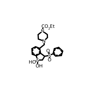 CCOC(=O)N1CCN(Cc2cccc3c2C(S(=O)(=O)c2ccccc2)CS3(O)O)CC1